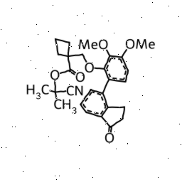 COc1ccc(-c2cccc3c2CCC3=O)c(OCC2(C(=O)OC(C)(C)C#N)CCC2)c1OC